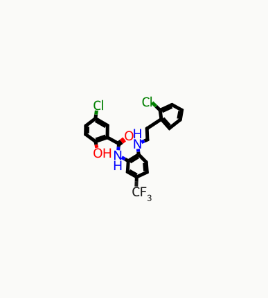 O=C(Nc1cc(C(F)(F)F)ccc1NCCc1ccccc1Cl)c1cc(Cl)ccc1O